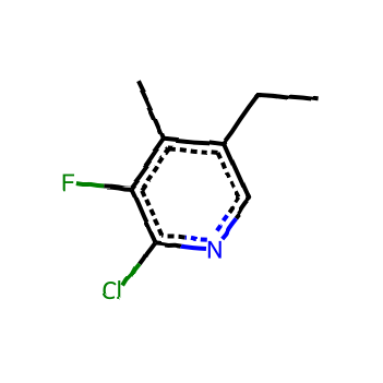 CCc1cnc(Cl)c(F)c1C